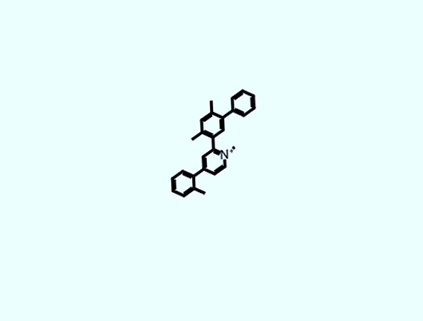 Cc1ccccc1-c1cc[n+](C)c(-c2cc(-c3ccccc3)c(C)cc2C)c1